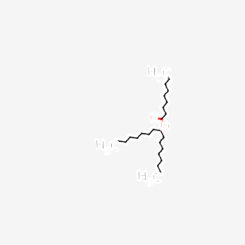 CCCCCCCCC(=O)OC(CCCCCCCC)CCCCCCCC